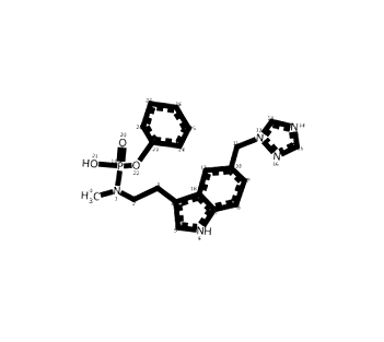 CN(CCc1c[nH]c2ccc(Cn3cncn3)cc12)P(=O)(O)Oc1ccccc1